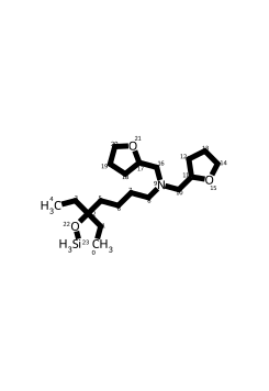 CCC(CC)(CCCCN(CC1CCCO1)CC1CCCO1)O[SiH3]